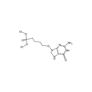 CCOP(=O)(CCCCON1CNc2c1nc(N)[nH]c2=O)OCC